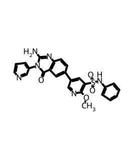 COc1ncc(-c2ccc3nc(N)n(-c4cccnc4)c(=O)c3c2)cc1S(=O)(=O)Nc1ccccc1